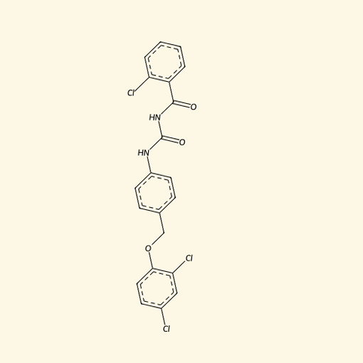 O=C(NC(=O)c1ccccc1Cl)Nc1ccc(COc2ccc(Cl)cc2Cl)cc1